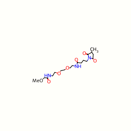 COCC(=O)NCCOCCOCCNC(=O)CCCN1C(=O)CC(C)C1=O